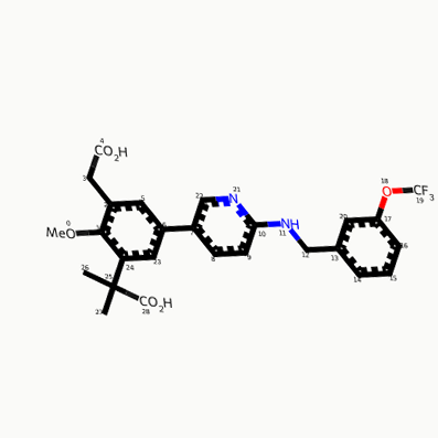 COc1c(CC(=O)O)cc(-c2ccc(NCc3cccc(OC(F)(F)F)c3)nc2)cc1C(C)(C)C(=O)O